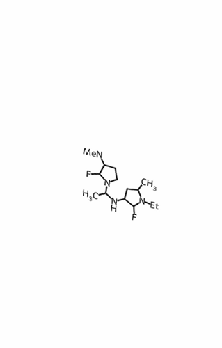 CCN1C(C)CC(NC(C)N2CCC(NC)C2F)C1F